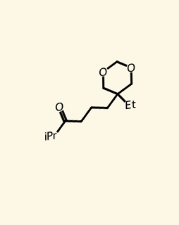 CCC1(CCCC(=O)C(C)C)COCOC1